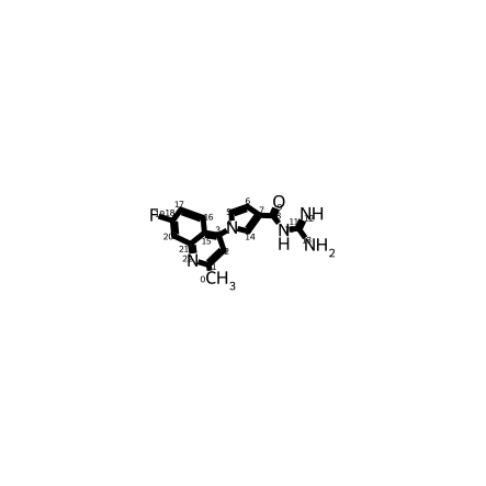 Cc1cc(-n2ccc(C(=O)NC(=N)N)c2)c2ccc(F)cc2n1